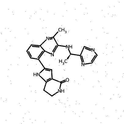 Cc1nc2cccc(-c3cc4c([nH]3)CCNC4=O)c2nc1N[C@H](C)c1cnccn1